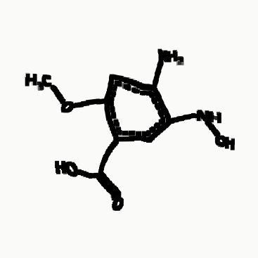 COc1cc(N)c(NO)cc1C(=O)O